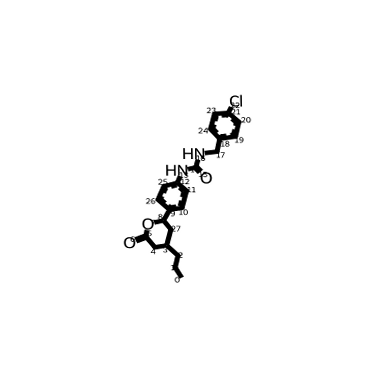 CCCC1CC(=O)OC(c2ccc(NC(=O)NCc3ccc(Cl)cc3)cc2)C1